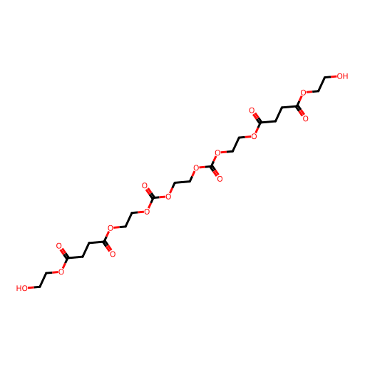 O=C(CCC(=O)OCCOC(=O)OCCOC(=O)OCCOC(=O)CCC(=O)OCCO)OCCO